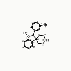 CCOC(c1cccc(Br)c1)C1(c2ccccc2)CCNCC1